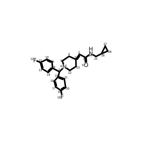 O=C(C=C1CCN(C(c2ccc(F)cc2)c2ccc(F)cc2)CC1)NCC1CC1